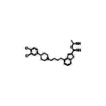 CC(=N)OC(=N)C1=Cc2c(CCCCN3CCC(c4ccc(Cl)c(Cl)c4)CC3)cccc2C1